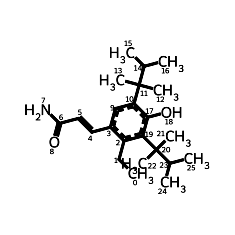 CCc1c(C=CC(N)=O)cc(C(C)(C)C(C)C)c(O)c1C(C)(C)C(C)C